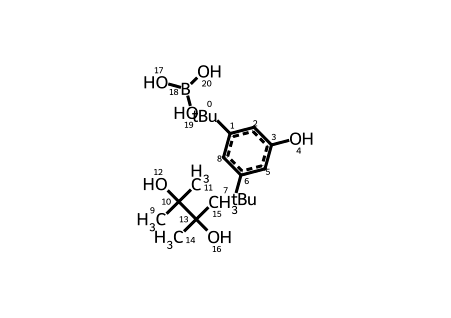 CC(C)(C)c1cc(O)cc(C(C)(C)C)c1.CC(C)(O)C(C)(C)O.OB(O)O